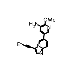 CCC#Cc1cnc2ccc(-c3cnc(OC)c(N)c3)cn12